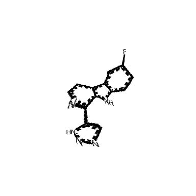 Fc1ccc2[nH]c3c(-c4cnn[nH]4)nccc3c2c1